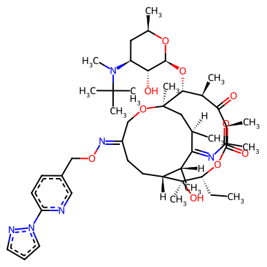 CC[C@H]1OC(=O)[C@H](C)C(=O)[C@H](C)[C@@H](O[C@@H]2O[C@H](C)C[C@H](N(C)C(C)(C)C)[C@H]2O)[C@@]2(C)C[C@@H](C)/C(=N\C(C)=O)[C@H](C)[C@@H](CC/C(=N\OCc3ccc(-n4cccn4)nc3)CO2)[C@]1(C)O